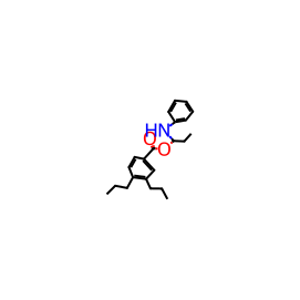 CCCc1ccc(C(=O)OC(CC)Nc2ccccc2)cc1CCC